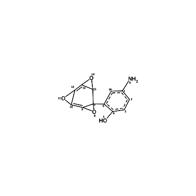 Nc1ccc(O)c(C23OC2=C2OC2=C2OC23)c1